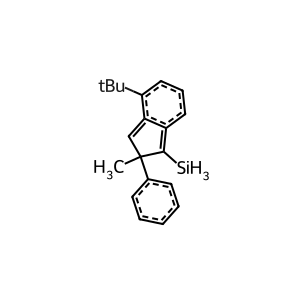 CC(C)(C)c1cccc2c1=CC(C)(c1ccccc1)C=2[SiH3]